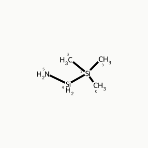 C[Si](C)(C)[SiH2]N